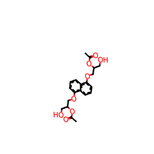 CC(=O)OC(CO)COc1cccc2c(OCC(CO)OC(C)=O)cccc12